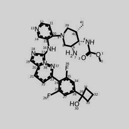 COC(=O)N[C@@H]1[C@H](N)CN(c2ccncc2Nc2ncc3ccc(-c4c(F)cc(C5(O)CCC5)cc4F)nn23)C[C@@H]1C